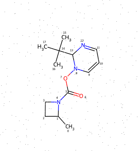 CC1CCN1C(=O)ON1C=CC=NC1C(C)(C)C